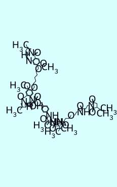 COc1cc2c(cc1OCCCCCOc1cc3c(cc1OC)C(=O)N1C=C(C)C[C@H]1[C@H](O)N3C(=O)OCc1ccc(NC(=O)[C@H](C)NC(=O)[C@@H](NC(=O)CCOCCNC(=O)CCN3C(=O)CC(C(C)C)C3=O)C(C)C)cc1)N=C[C@@H]1CC(C)=CN1C2=O